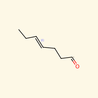 CC/C=C/CC[C]=O